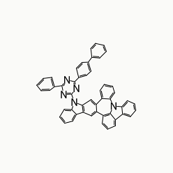 c1ccc(-c2ccc(-c3nc(-c4ccccc4)nc(-n4c5ccccc5c5cc6c(cc54)-c4ccccc4-n4c5ccccc5c5cccc-6c54)n3)cc2)cc1